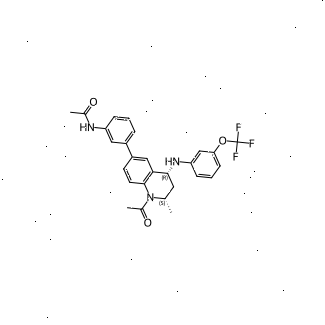 CC(=O)Nc1cccc(-c2ccc3c(c2)[C@H](Nc2cccc(OC(F)(F)F)c2)C[C@H](C)N3C(C)=O)c1